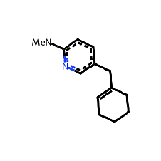 CNc1ccc(CC2=CCCCC2)cn1